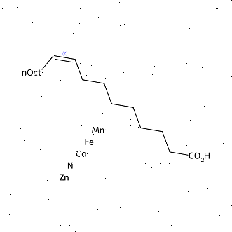 CCCCCCCC/C=C\CCCCCCCC(=O)O.[Co].[Fe].[Mn].[Ni].[Zn]